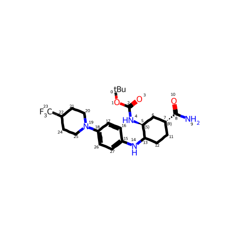 CC(C)(C)OC(=O)N[C@H]1C[C@H](C(N)=O)CCC1Nc1ccc(N2CCC(C(F)(F)F)CC2)cc1